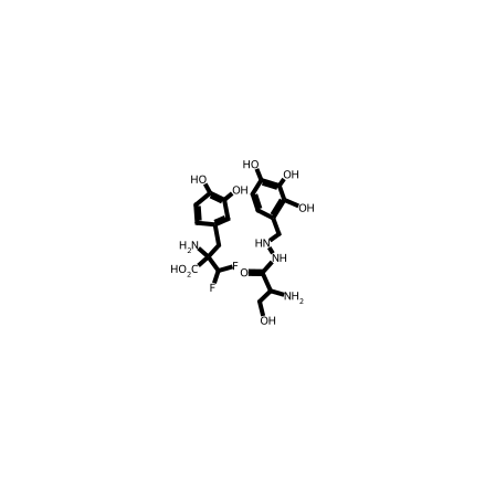 NC(CO)C(=O)NNCc1ccc(O)c(O)c1O.NC(Cc1ccc(O)c(O)c1)(C(=O)O)C(F)F